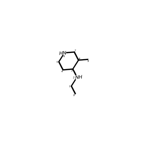 CCNC1CCNCC1C